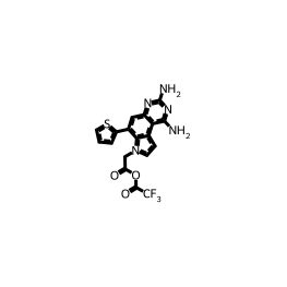 Nc1nc(N)c2c(cc(-c3cccs3)c3c2ccn3CC(=O)OC(=O)C(F)(F)F)n1